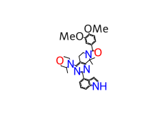 COc1ccc(C(=O)N2CCc3c(N4CCOCC4C)nc(-c4cccc5[nH]ccc45)nc3C2(C)C)cc1OC